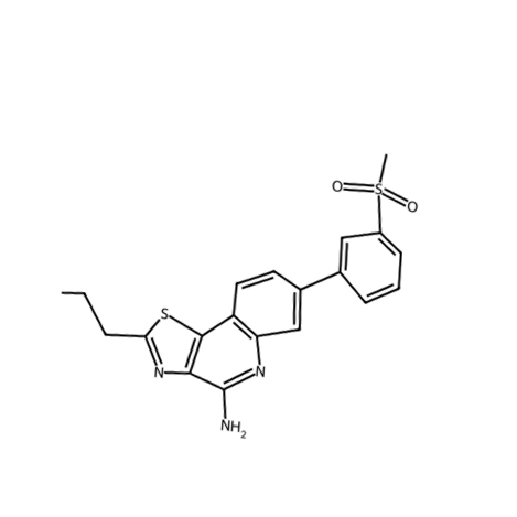 CCCc1nc2c(N)nc3cc(-c4cccc(S(C)(=O)=O)c4)ccc3c2s1